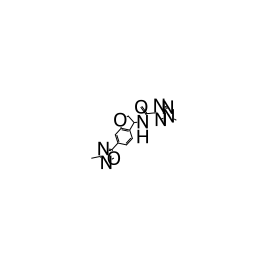 Cc1noc(-c2ccc3c(c2)OCC3NC(=O)c2nnn(C)n2)n1